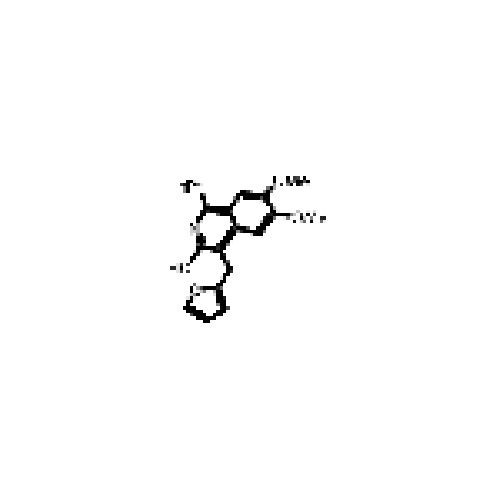 CCCc1nc(O)c(Cc2ccco2)c2cc(OC)c(OC)cc12